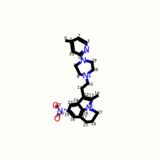 Cc1ccnc(N2CCN(CCc3c(C)n4c5c(cc([N+](=O)[O-])cc35)CCC4)CC2)c1